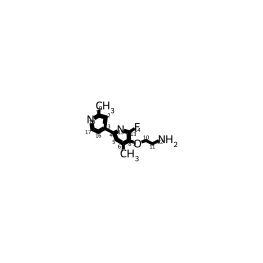 Cc1cc(-c2cc(C)c(OCCN)c(F)n2)ccn1